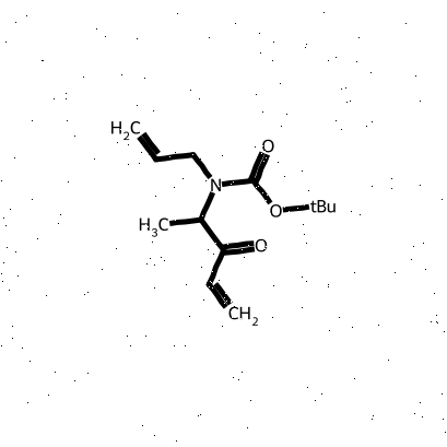 C=CCN(C(=O)OC(C)(C)C)C(C)C(=O)C=C